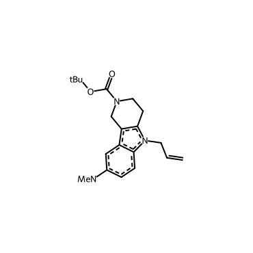 C=CCn1c2c(c3cc(NC)ccc31)CN(C(=O)OC(C)(C)C)CC2